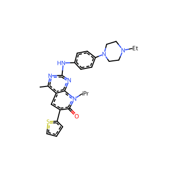 CCN1CCN(c2ccc(Nc3nc(C)c4cc(-c5cccs5)c(=O)n(C(C)C)c4n3)cc2)CC1